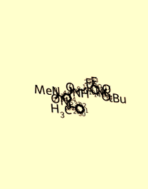 CNC(=O)c1cc(C(=O)NCCC[C@H]2CCN(C(=O)OC(C)(C)C)CC2(F)F)cc(C(C)c2ccccc2)n1